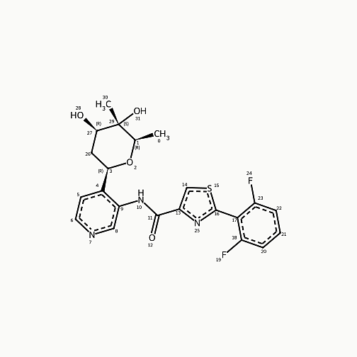 C[C@H]1O[C@@H](c2ccncc2NC(=O)c2csc(-c3c(F)cccc3F)n2)C[C@@H](O)[C@]1(C)O